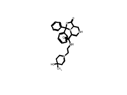 CC1(O)CCN(CCNC(=O)C2CNCC3C(=O)OC(c4ccccc4)(c4ccccc4)N23)CC1